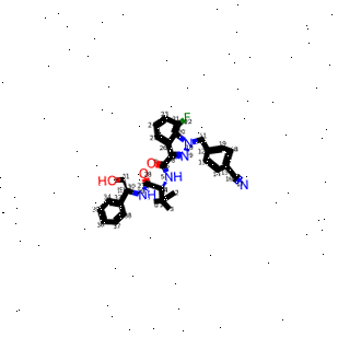 CC(C)(C)[C@H](NC(=O)c1nn(Cc2ccc(C#N)cc2)c2c(F)cccc12)C(=O)N[C@H](CO)c1ccccc1